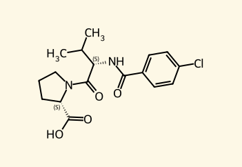 CC(C)[C@H](NC(=O)c1ccc(Cl)cc1)C(=O)N1CCC[C@H]1C(=O)O